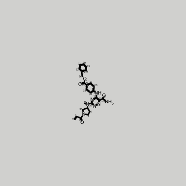 C=CC(=O)N1CC[C@@H](N(C)c2nnc(C(N)=O)c(Nc3ccc(C(=O)OCc4ccccc4)cc3)n2)C1